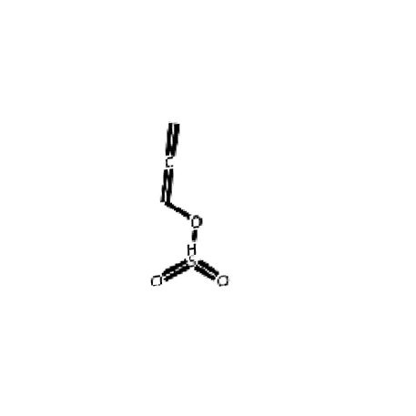 C=C=CO[SH](=O)=O